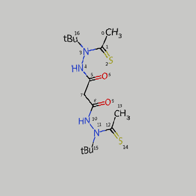 CC(=S)N(NC(=O)CC(=O)NN(C(C)=S)C(C)(C)C)C(C)(C)C